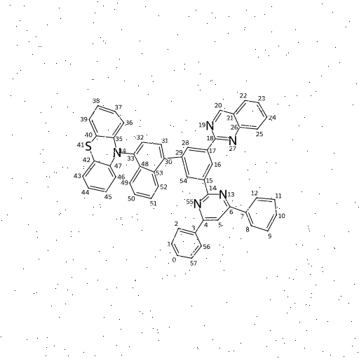 c1ccc(-c2cc(-c3ccccc3)nc(-c3cc(-c4ncc5ccccc5n4)cc(-c4ccc(N5c6ccccc6Sc6ccccc65)c5ccccc45)c3)n2)cc1